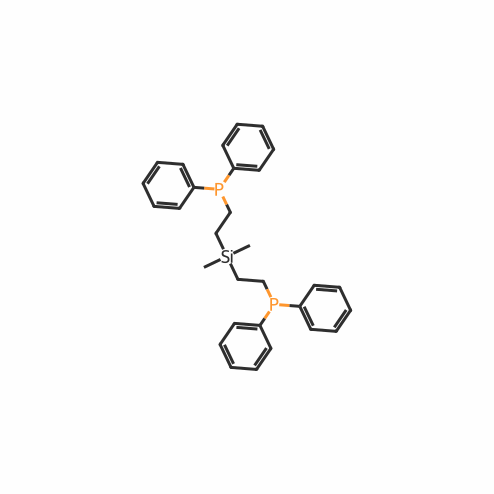 C[Si](C)(CCP(c1ccccc1)c1ccccc1)CCP(c1ccccc1)c1ccccc1